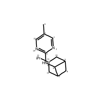 Cc1cnc(NC2C3CC2CN(C(C)C)C3)nc1